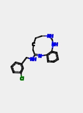 Clc1cccc(CN/C2=N/c3ccccc3NCNCCCC2)c1